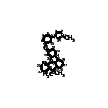 C[n+]1ccn(-c2cccc(Oc3ccc4c5cccc6c5n(c4c3)-c3ncccc3C6(C)C)c2)c1